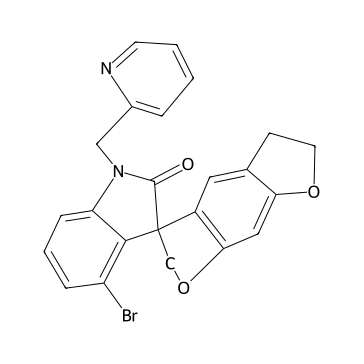 O=C1N(Cc2ccccn2)c2cccc(Br)c2C12COc1cc3c(cc12)CCO3